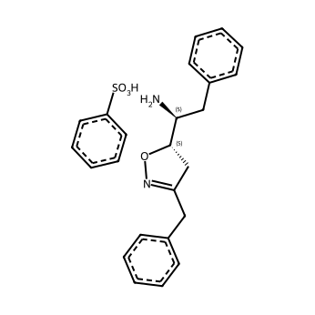 N[C@@H](Cc1ccccc1)[C@@H]1CC(Cc2ccccc2)=NO1.O=S(=O)(O)c1ccccc1